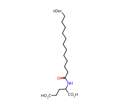 CCCCCCCCCCCCCCCCCCCCCC(=O)NC(CCC(=O)O)C(=O)O